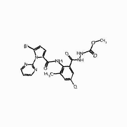 COC(=O)NNC(=O)c1cc(Cl)cc(C)c1NC(=O)c1ccc(Br)n1-c1ncccn1